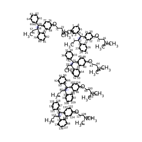 CC/C(=C(\c1ccccc1)c1ccc(OCCN(C)C)cc1)c1ccccc1.CC/C(=C(\c1ccccc1)c1ccc(OCCN(C)C)cc1)c1ccccc1.CC/C(=C(\c1ccccc1)c1ccc(OCCN(C)C)cc1)c1ccccc1.CC/C(=C(\c1ccccc1)c1ccc(OCCN(C)C)cc1)c1ccccc1.CC/C(=C(\c1ccccc1)c1ccc(OCCN(C)C)cc1)c1ccccc1